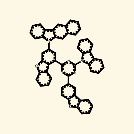 c1ccc2cc3c(cc2c1)c1ccccc1n3-c1cc(-c2nc(-c3ccc4sc5ccccc5c4c3)nc(-n3c4ccccc4c4ccccc43)n2)c2c(c1)oc1ccccc12